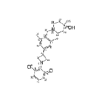 Cc1cc(C2CN(c3c(Cl)cccc3Cl)C2)cc(C)c1CN1CCC(C)(O)CC1